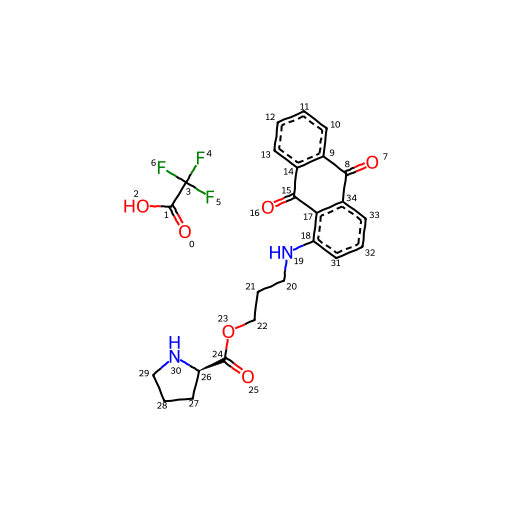 O=C(O)C(F)(F)F.O=C1c2ccccc2C(=O)c2c(NCCCOC(=O)[C@H]3CCCN3)cccc21